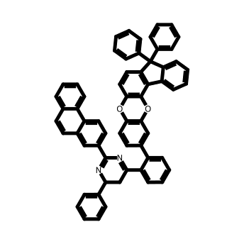 c1ccc(C2CC(c3ccccc3-c3ccc4c(c3)Oc3c(ccc5c3-c3ccccc3C5(c3ccccc3)c3ccccc3)O4)=NC(c3ccc4c(ccc5ccccc54)c3)=N2)cc1